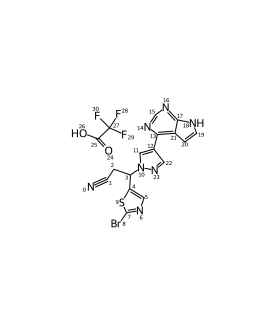 N#CCC(c1cnc(Br)s1)n1cc(-c2ncnc3[nH]ccc23)cn1.O=C(O)C(F)(F)F